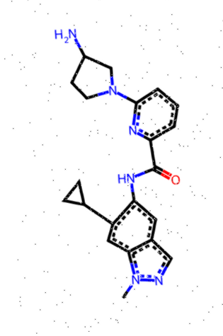 Cn1ncc2cc(NC(=O)c3cccc(N4CCC(N)C4)n3)c(C3CC3)cc21